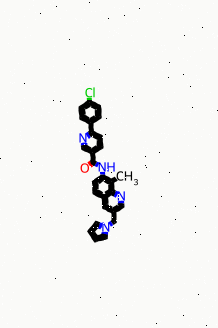 Cc1c(NC(=O)c2ccc(-c3ccc(Cl)cc3)nc2)ccc2cc(Cn3cccc3)cnc12